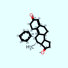 C[C@H]1C2C(=O)CCC2C2CCC3=CC(=O)CCC3=C2[C@H]1c1ccccc1